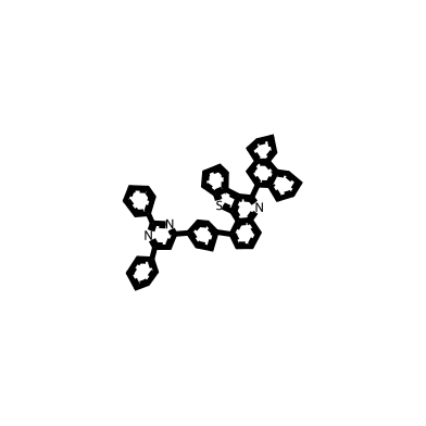 c1ccc(-c2cc(-c3ccc(-c4cccc5nc(-c6cc7ccccc7c7ccccc67)c6c7ccccc7sc6c45)cc3)nc(-c3ccccc3)n2)cc1